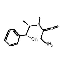 C=C=C(CN)N(C)[C@H](C)[C@H](O)c1ccccc1